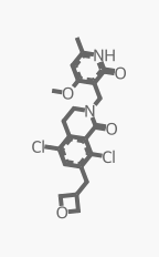 COc1cc(C)[nH]c(=O)c1CN1CCc2c(Cl)cc(CC3COC3)c(Cl)c2C1=O